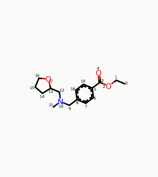 CCOC(=O)c1ccc(CN(C)CC2CCCO2)cc1